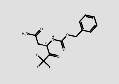 NC(=O)C[C@@H](NC(=O)OCc1ccccc1)C(=O)C(F)(F)F